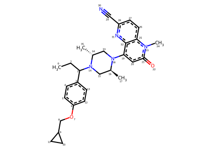 CCC(c1ccc(OCC2CC2)cc1)N1C[C@H](C)N(c2cc(=O)n(C)c3ccc(C#N)nc23)C[C@H]1C